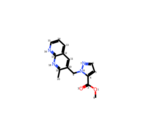 COC(=O)c1ccnn1Cc1cc2cccnc2nc1C